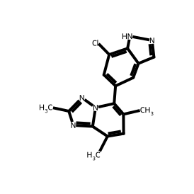 Cc1nc2c(C)cc(C)c(-c3cc(Cl)c4[nH]ncc4c3)n2n1